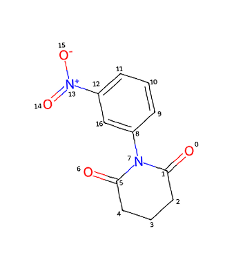 O=C1CCCC(=O)N1c1cccc([N+](=O)[O-])c1